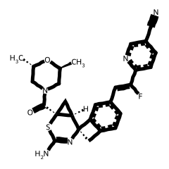 C[C@H]1CN(C(=O)[C@]23C[C@H]2[C@]2(Cc4ccc(/C=C(\F)c5ccc(C#N)cn5)cc42)N=C(N)S3)C[C@H](C)O1